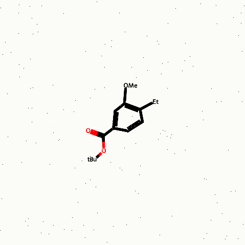 CCc1c[c]c(C(=O)OC(C)(C)C)cc1OC